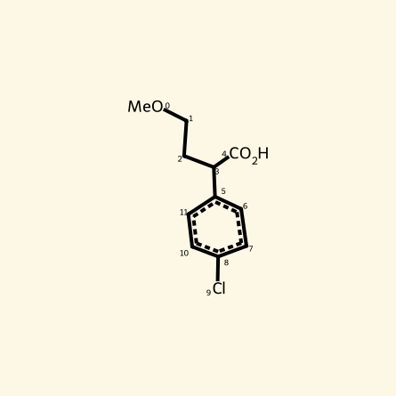 COCCC(C(=O)O)c1ccc(Cl)cc1